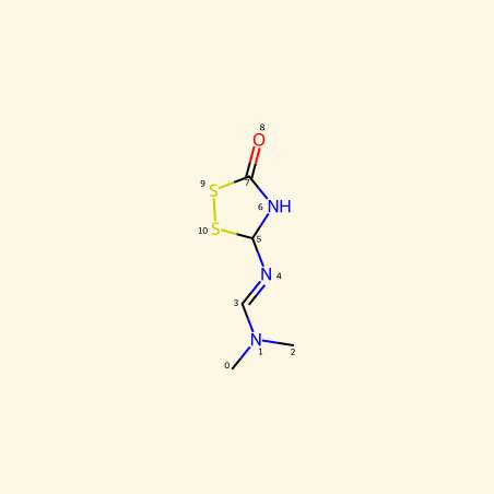 CN(C)C=NC1NC(=O)SS1